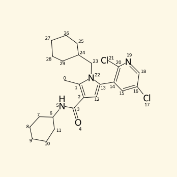 Cc1c(C(=O)NC2CCCCC2)cc(-c2cc(Cl)cnc2Cl)n1CC1CCCCC1